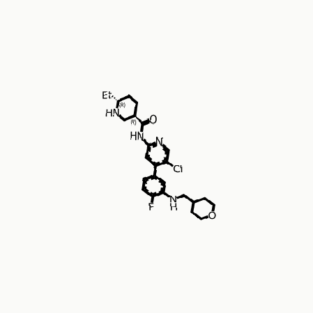 CC[C@@H]1CC[C@@H](C(=O)Nc2cc(-c3ccc(F)c(NCC4CCOCC4)c3)c(Cl)cn2)CN1